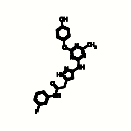 Cc1nc(Nc2cc(CC(=O)Nc3cccc(F)c3)[nH]n2)nc(Oc2ccc(O)cc2)n1